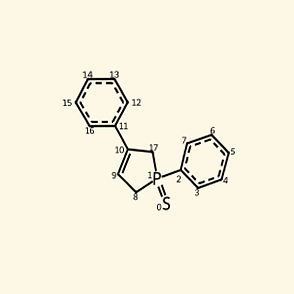 S=P1(c2ccccc2)CC=C(c2ccccc2)C1